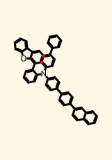 c1ccc(-c2ccc(N(c3ccc(-c4ccc(-c5ccc6ccccc6c5)cc4)cc3)c3ccccc3-c3cccc4c3oc3ccccc34)cc2)cc1